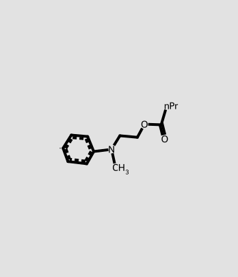 [CH2]CCC(=O)OCCN(C)c1cc[c]cc1